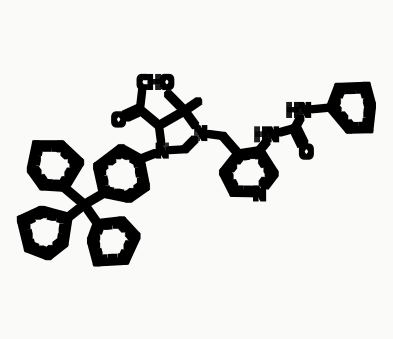 CC1(C)C(C(=O)C=O)N(c2ccc(C(c3ccccc3)(c3ccccc3)c3ccccc3)cc2)CN1Cc1ccncc1NC(=O)Nc1ccccc1